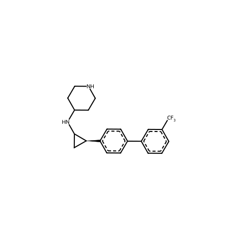 FC(F)(F)c1cccc(-c2ccc([C@H]3CC3NC3CCNCC3)cc2)c1